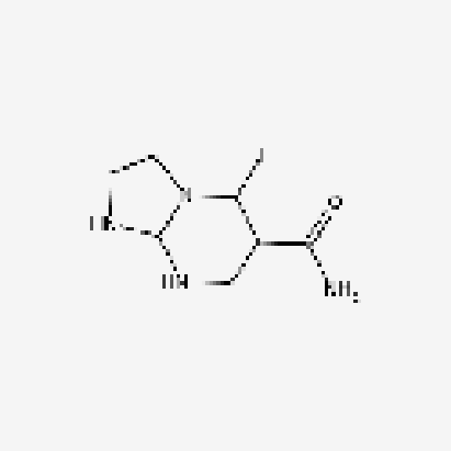 NC(=O)C1CNC2NCCN2C1I